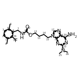 Cc1ccc(C)c(CNC(=O)OCCCCn2cnc3c(N)nc(N(C)C)nc32)c1F